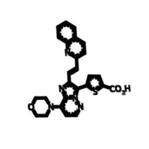 O=C(O)c1ccc(-c2c(C=Cc3ccc4ccccc4n3)nc3c(N4CCOCC4)ccnn23)s1